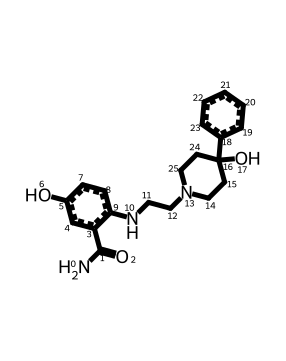 NC(=O)c1cc(O)ccc1NCCN1CCC(O)(c2ccccc2)CC1